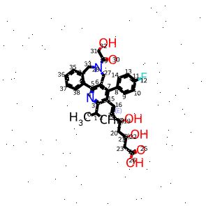 CC(C)c1nc2c(c(-c3ccc(F)cc3)c1/C=C/[C@@H](O)C[C@@H](O)CC(=O)O)CN(C(=O)CO)Cc1ccccc1-2